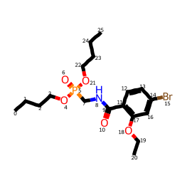 CCCCOP(=O)(CNC(=O)c1ccc(Br)cc1OCC)OCCCC